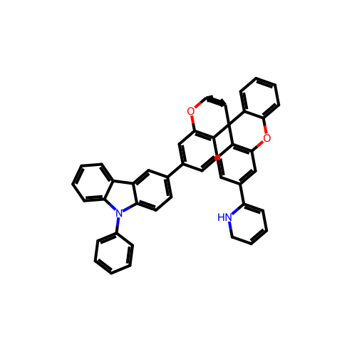 C1=CCNC(c2ccc3c(c2)Oc2ccccc2C32c3ccccc3Oc3cc(-c4ccc5c(c4)c4ccccc4n5-c4ccccc4)ccc32)=C1